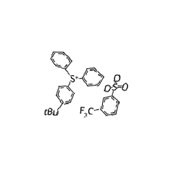 CC(C)(C)c1ccc([S+](c2ccccc2)c2ccccc2)cc1.O=S(=O)([O-])c1cccc(C(F)(F)F)c1